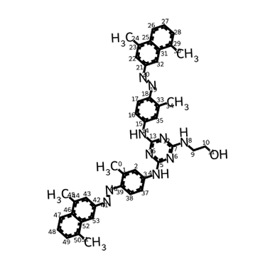 Cc1cc(Nc2nc(NCCO)nc(Nc3ccc(N=Nc4cc(C)c5cccc(C)c5c4)c(C)c3)n2)ccc1N=Nc1cc(C)c2cccc(C)c2c1